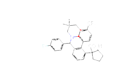 CC1(C)CCCN(C(c2ccc(F)cc2)c2cccc(C3(C(=O)O)CCCC3)c2-c2ccc(C(F)(F)F)cc2)C1